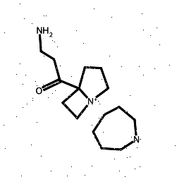 C1CCC[N]CC1.NCCC(=O)C12CCC[N+]1CC2